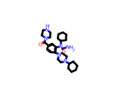 NC(=O)N(c1cc(C(=O)N2CCNCC2)ccc1N1CCN(C2CCCCC2)CC1)C1CCCCC1